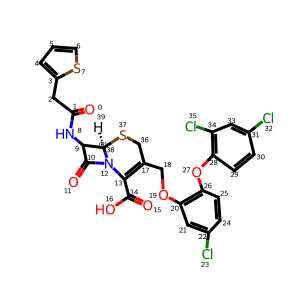 O=C(Cc1cccs1)NC1C(=O)N2C(C(=O)O)=C(COc3cc(Cl)ccc3Oc3ccc(Cl)cc3Cl)CS[C@H]12